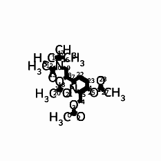 CC(=O)OCc1nc(C(CN(C(C)=O)C(C)(C)C)OC(C)=O)ccc1OC(C)=O